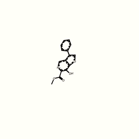 COC(=O)c1ncc2c(-c3ccccc3)coc2c1O